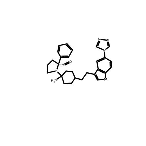 NC1(N2CCC[C@@]2(C=O)c2ccccc2)CCC(CCc2c[nH]c3ccc(-n4cnnc4)cc23)CC1